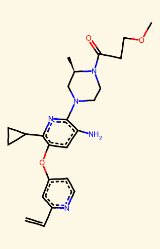 C=Cc1cc(Oc2cc(N)c(N3CCN(C(=O)CCOC)[C@H](C)C3)nc2C2CC2)ccn1